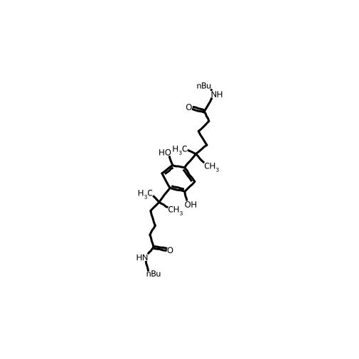 CCCCNC(=O)CCCC(C)(C)c1cc(O)c(C(C)(C)CCCC(=O)NCCCC)cc1O